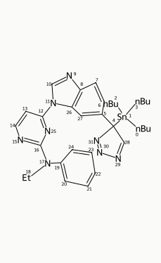 CCC[CH2][Sn]([CH2]CCC)([CH2]CCC)[C]1(c2ccc3ncn(-c4ccnc(N(CC)c5ccccc5)n4)c3c2)C=NN=N1